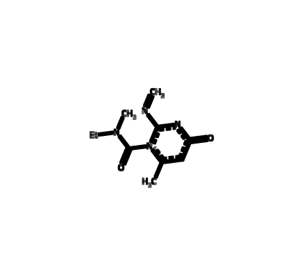 C=Nc1nc(=O)cc(C)n1C(=O)N(C)CC